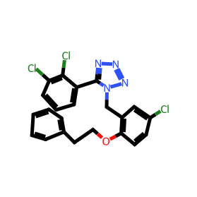 Clc1ccc(OCCc2ccccc2)c(Cn2nnnc2-c2cccc(Cl)c2Cl)c1